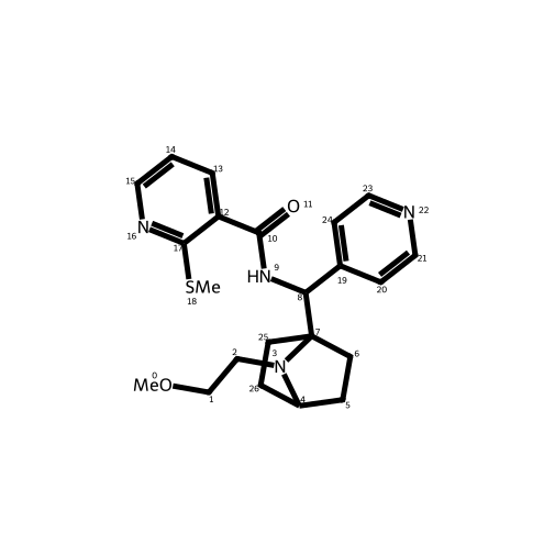 COCCN1C2CCC1(C(NC(=O)c1cccnc1SC)c1ccncc1)CC2